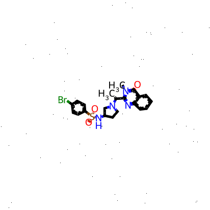 CC(c1nc2ccccc2c(=O)n1C)N1CCC(NS(=O)(=O)c2ccc(Br)cc2)C1